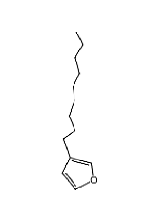 CCCCCCCCCc1ccoc1